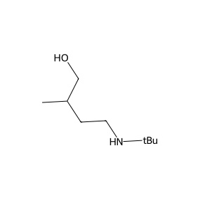 CC(CO)CCNC(C)(C)C